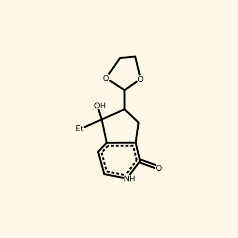 CCC1(O)c2cc[nH]c(=O)c2CC1C1OCCO1